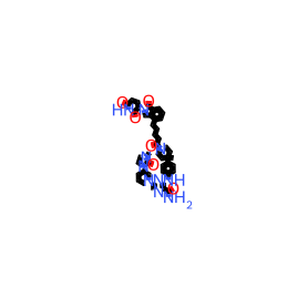 CN1CCN([C@@H]2CCCN(c3cnc(C(N)=O)c(Nc4ccc(C5(C)CCN(C(=O)CCCCc6cccc7c6CN(C6CCC(=O)NC6=O)C7=O)CC5)cc4)n3)C2)C1=O